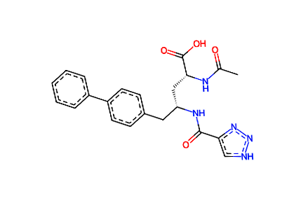 CC(=O)N[C@H](C[C@@H](Cc1ccc(-c2ccccc2)cc1)NC(=O)c1c[nH]nn1)C(=O)O